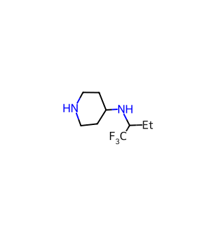 CCC(NC1CCNCC1)C(F)(F)F